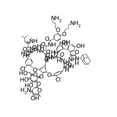 CN[C@H](CC(C)C)C(=O)N[C@H]1C(=O)N[C@@H](CC(=O)NC(=O)c2ccc(OCCCN)c(OCCCN)c2)C(=O)N[C@H]2C(=O)N[C@H]3C(=O)N[C@H](C(=O)N[C@H](C(=O)NC4C5CC6CC(C5)CC4C6)c4cc(O)cc(O)c4-c4cc3ccc4O)[C@H](O)c3ccc(c(Cl)c3)Oc3cc2cc(c3O[C@@H]2O[C@H](CO)[C@@H](O)[C@H](O)[C@H]2O[C@H]2C[C@](C)(N)[C@H](O)[C@H](C)O2)Oc2ccc(cc2Cl)[C@H]1O